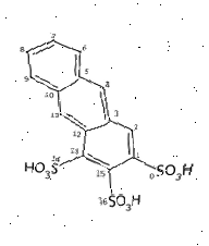 O=S(=O)(O)c1cc2cc3ccccc3cc2c(S(=O)(=O)O)c1S(=O)(=O)O